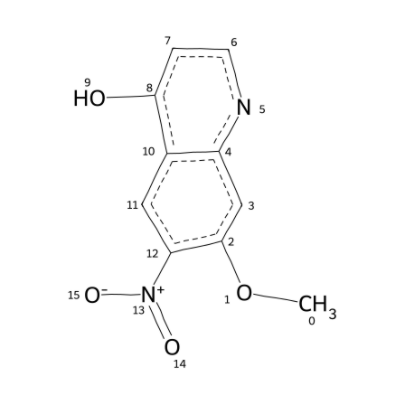 COc1cc2nccc(O)c2cc1[N+](=O)[O-]